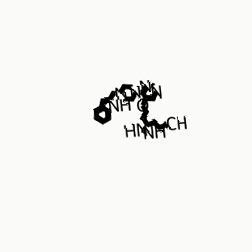 C#CCCC1(CCOc2cncnc2N2CCN(Cc3cc4ccccc4[nH]3)CC2)NN1